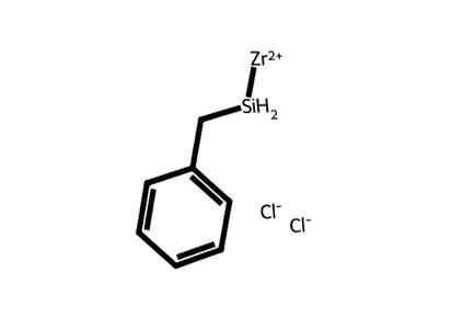 [Cl-].[Cl-].[Zr+2][SiH2]Cc1ccccc1